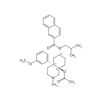 COc1cccc([C@@]23CCN(C)C[C@@]2(OC(C)=O)CC[C@@H](N(CC(C)C)C(=O)c2ccc4ccccc4c2)C3)c1